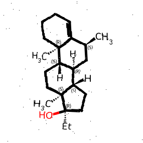 CC[C@@]1(O)CC[C@H]2[C@@H]3C[C@H](C)C4=CCCC[C@]4(C)[C@H]3CC[C@@]21C